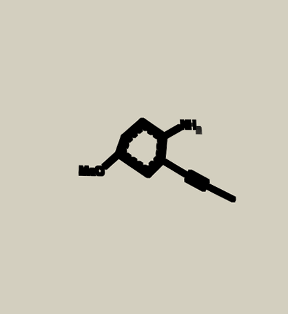 CC#Cc1cc(OC)ccc1N